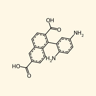 Nc1ccc(N)c(-c2c(C(=O)O)ccc3cc(C(=O)O)ccc23)c1